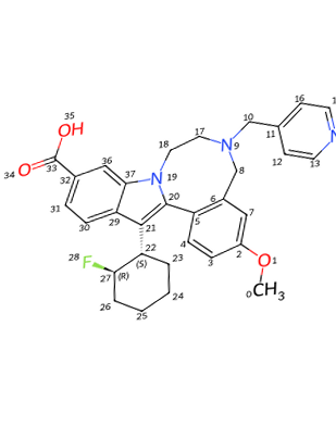 COc1ccc2c(c1)CN(Cc1ccncc1)CCn1c-2c([C@@H]2CCCC[C@H]2F)c2ccc(C(=O)O)cc21